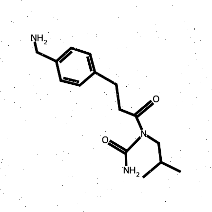 CC(C)CN(C(N)=O)C(=O)CCc1ccc(CN)cc1